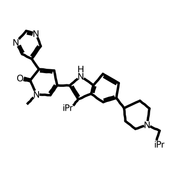 CC(C)CN1CCC(c2ccc3[nH]c(-c4cc(-c5cncnc5)c(=O)n(C)c4)c(C(C)C)c3c2)CC1